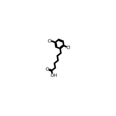 O=C(O)CCCCCc1cc(Cl)ccc1Cl